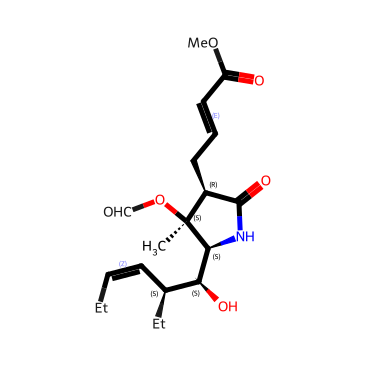 CC/C=C\[C@H](CC)[C@H](O)[C@@H]1NC(=O)[C@H](C/C=C/C(=O)OC)[C@]1(C)OC=O